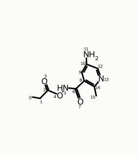 CCC(=O)ONC(=O)c1cc(N)cnc1C